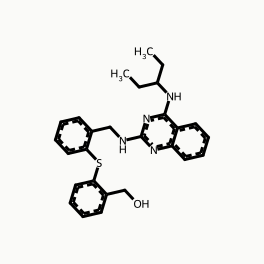 CCC(CC)Nc1nc(NCc2ccccc2Sc2ccccc2CO)nc2ccccc12